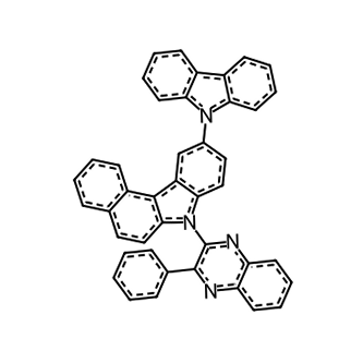 c1ccc(-c2nc3ccccc3nc2-n2c3ccc(-n4c5ccccc5c5ccccc54)cc3c3c4ccccc4ccc32)cc1